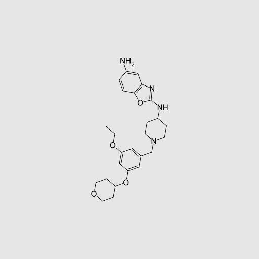 CCOc1cc(CN2CCC(Nc3nc4cc(N)ccc4o3)CC2)cc(OC2CCOCC2)c1